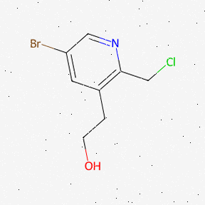 OCCc1cc(Br)cnc1CCl